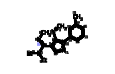 C=Nc1c(/C(=N\C)N(CC)CC)cnn1-c1cccc(C)c1